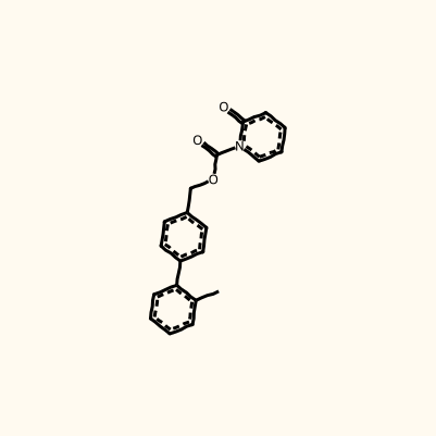 Cc1ccccc1-c1ccc(COC(=O)n2ccccc2=O)cc1